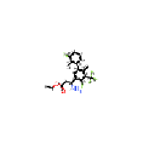 CCOC(=O)CC(N)c1cc(-c2cccc(F)c2C)c(C)c(C(F)(F)F)c1F